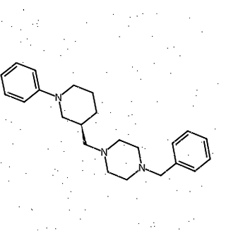 c1ccc(CN2CCN(C[C@@H]3CCCN(c4ccccc4)C3)CC2)cc1